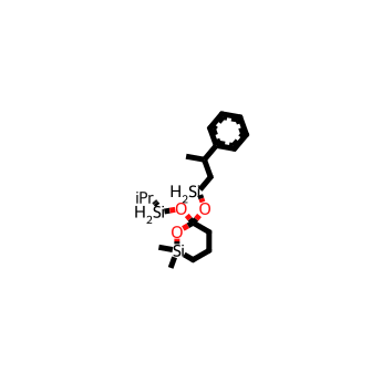 CC(C)[SiH2]OC1(O[SiH2]CC(C)c2ccccc2)CCC[Si](C)(C)O1